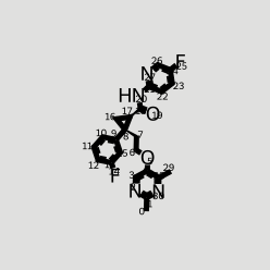 Cc1ncc(OCC[C@@]2(c3cccc(F)c3)C[C@H]2C(=O)Nc2ccc(F)cn2)c(C)n1